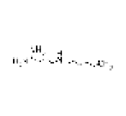 CCCCCCNCCCC(N)N